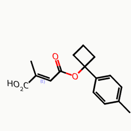 C/C(=C\C(=O)OC1(c2ccc(C)cc2)CCC1)C(=O)O